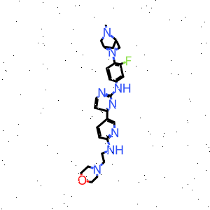 CN1CC2CC1CN2c1ccc(Nc2nccc(-c3ccc(NCCN4CCOCC4)nc3)n2)cc1F